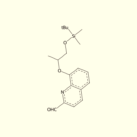 CC(CO[Si](C)(C)C(C)(C)C)Oc1cccc2ccc(C=O)nc12